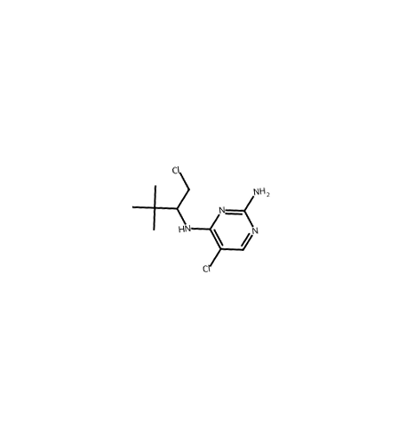 CC(C)(C)C(CCl)Nc1nc(N)ncc1Cl